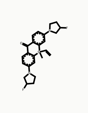 C=C[Si]1(C)c2cc(N3CCC(F)C3)ccc2C(=O)c2ccc(N3CCC(F)C3)cc21